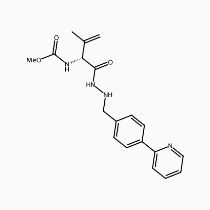 C=C(C)[C@@H](NC(=O)OC)C(=O)NNCc1ccc(-c2ccccn2)cc1